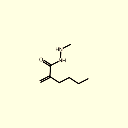 C=C(CCCC)C(=O)NNC